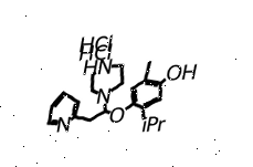 Cc1cc(OC(Cc2ccccn2)N2CCNCC2)c(C(C)C)cc1O.Cl.Cl